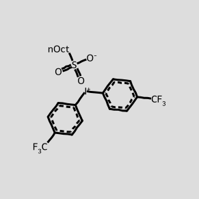 CCCCCCCCS(=O)(=O)[O-].FC(F)(F)c1ccc([I+]c2ccc(C(F)(F)F)cc2)cc1